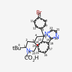 CC(C)(C)C1CC(CC2(c3ccc(Br)cc3)c3ccccc3-c3nccn32)CCN1C(=O)O